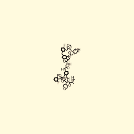 CN[C@@H](C)C(=O)NC(C(=O)N1Cc2ccc(NC(=O)CNC(=O)[C@]3(C)CN(C(=O)CN4CC(C)NC[C@@H]4CN4CCOCC4C)c4cc(Cc5ccc(F)cc5)ccc43)cc2C1C(=O)Nc1c(F)cccc1F)C1CCOCC1